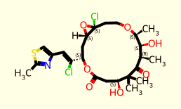 Cc1nc(C=C(Cl)[C@@H]2C[C@@H]3O[C@]3(Cl)CCO[C@@H](C)[C@@H](O)[C@@H](C)C(=O)C(C)(C)[C@@H](O)CC(=O)O2)cs1